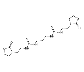 O=C1OCCC1CCNC(=S)NCCCNC(=S)NCCC1CCOC1=O